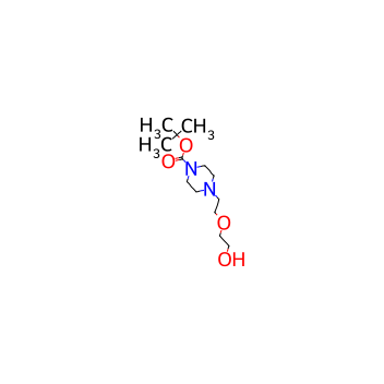 CC(C)(C)OC(=O)N1CCN(CCOCCO)CC1